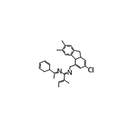 C/C=C(C)/C(=N/CC1=CC(Cl)=CC2Cc3cc(C)c(C)cc3C12)/N=C(\C)C1C=CC=CC1